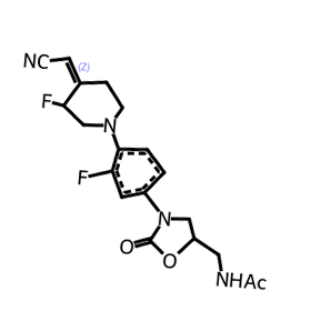 CC(=O)NCC1CN(c2ccc(N3CC/C(=C/C#N)C(F)C3)c(F)c2)C(=O)O1